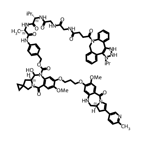 COc1cc2c(cc1OCCCOc1cc3c(cc1OC)C(=O)N1CC4(CC4)C[C@H]1C(O)N3C(=O)OCc1ccc(NC(=O)[C@H](C)NC(=O)[C@@H](NC(=O)CNC(=O)CNC(=O)CCC(=O)N3Cc4ccccc4C4=C(NNN4C(C)C)c4ccccc43)C(C)C)cc1)NC[C@@H]1CC(c3ccc(C)nc3)=CN1C2=O